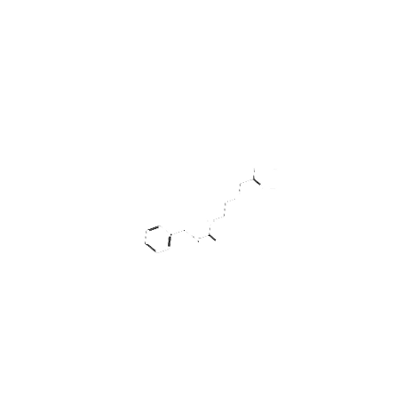 C=C(CSCCOC(=O)NCc1ccccc1)C(=O)OCC